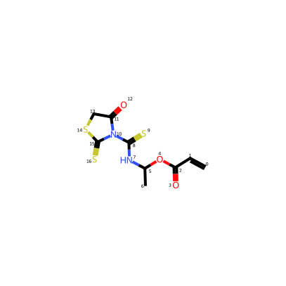 C=CC(=O)OC(C)NC(=S)N1C(=O)CSC1=S